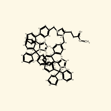 COC(=O)CCC1=CN(Cc2ccc(-c3ccccc3-c3nnnn3C(c3ccccc3)(c3ccccc3)c3ccccc3)cc2)CN1Cc1ccc(-c2ccccc2-c2nnnn2C(c2ccccc2)(c2ccccc2)c2ccccc2)cc1